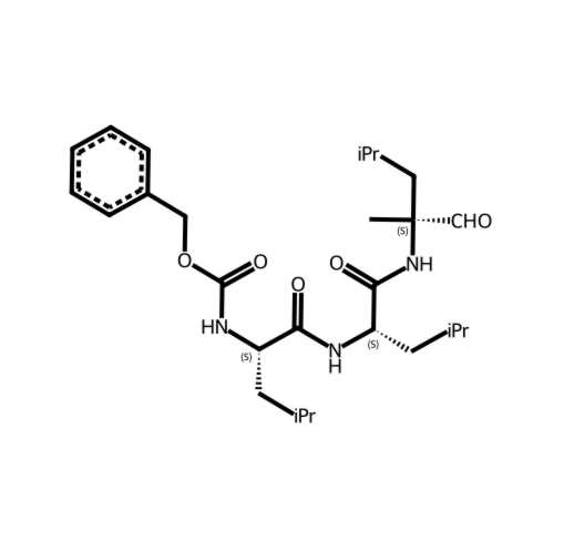 CC(C)C[C@H](NC(=O)OCc1ccccc1)C(=O)N[C@@H](CC(C)C)C(=O)N[C@](C)(C=O)CC(C)C